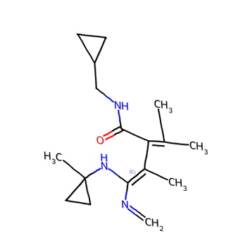 C=N/C(NC1(C)CC1)=C(\C)C(C(=O)NCC1CC1)=C(C)C